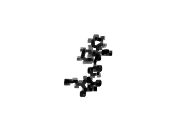 CC(C)(C)[Si](OC[C@H]1OC[C@H](n2cc(C=CBr)c(=O)[nH]c2=O)O1)(c1ccccc1)c1ccccc1